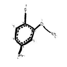 CCOc1cc([C](C)C)ccc1F